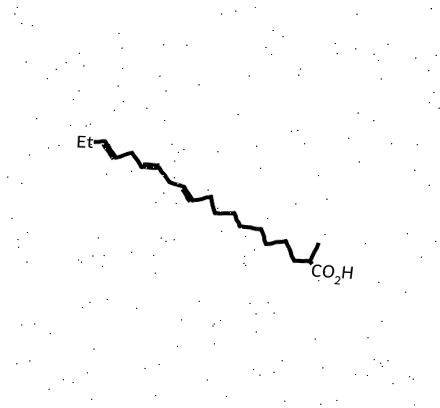 CCC=CCC=CCC=CCCCCCCCCC(C)C(=O)O